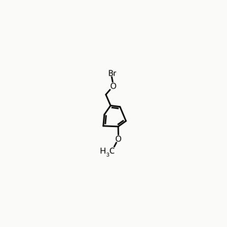 COc1ccc(COBr)cc1